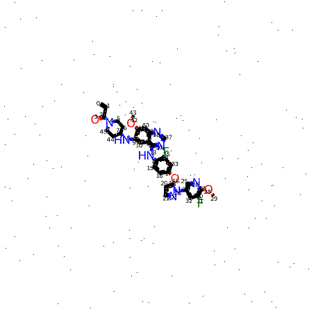 C=CC(=O)N1CCC(Nc2cc3c(Nc4ccc(Oc5ccnn5-c5cnc(OC)c(F)c5)cc4F)ncnc3cc2OC)CC1